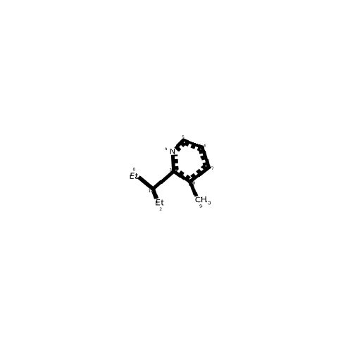 CCC(CC)c1ncccc1C